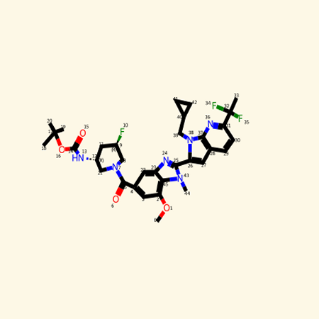 COc1cc(C(=O)N2C[C@H](F)C[C@@H](NC(=O)OC(C)(C)C)C2)cc2nc(-c3cc4ccc(C(C)(F)F)nc4n3CC3CC3)n(C)c12